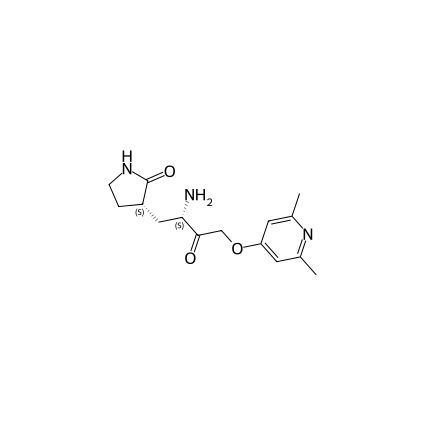 Cc1cc(OCC(=O)[C@@H](N)C[C@@H]2CCNC2=O)cc(C)n1